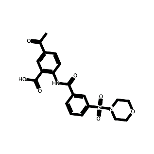 CC(=O)c1ccc(NC(=O)c2cccc(S(=O)(=O)N3CCOCC3)c2)c(C(=O)O)c1